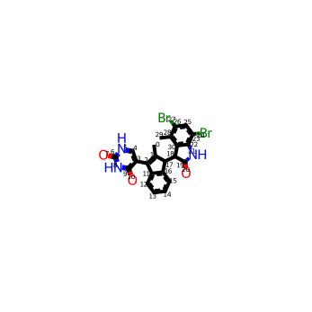 CC1=C(c2c[nH]c(=O)[nH]c2=O)c2ccccc2C1C1C(=O)Nc2c(Br)cc(Br)c(C)c21